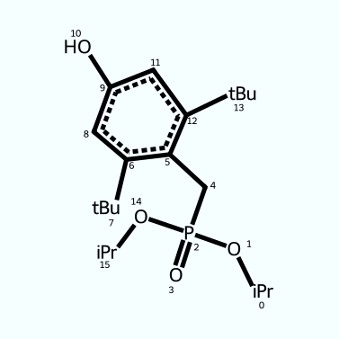 CC(C)OP(=O)(Cc1c(C(C)(C)C)cc(O)cc1C(C)(C)C)OC(C)C